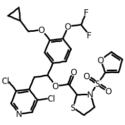 O=C(OC(Cc1c(Cl)cncc1Cl)c1ccc(OC(F)F)c(OCC2CC2)c1)C1SCCN1S(=O)(=O)c1ccco1